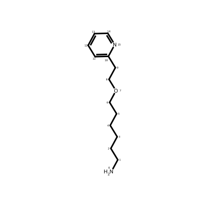 NCCCCCCOCCc1ccccn1